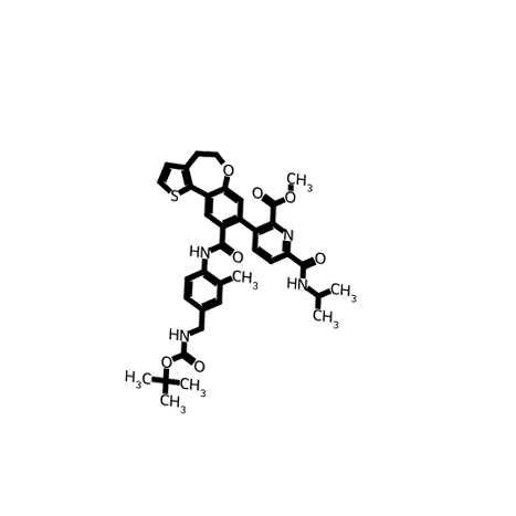 COC(=O)c1nc(C(=O)NC(C)C)ccc1-c1cc2c(cc1C(=O)Nc1ccc(CNC(=O)OC(C)(C)C)cc1C)-c1sccc1CCO2